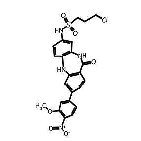 COc1cc(-c2ccc3c(c2)Nc2ccc(NS(=O)(=O)CCCCl)cc2NC3=O)ccc1[N+](=O)[O-]